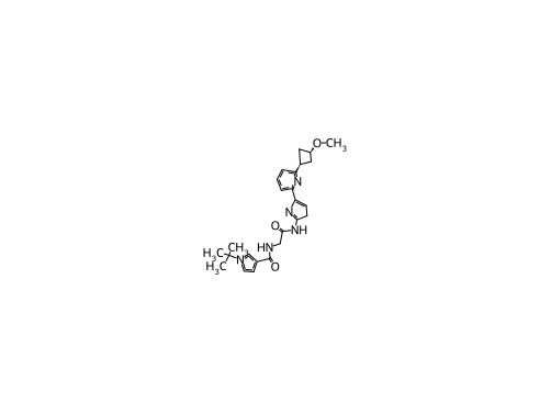 CO[C@H]1C[C@@H](c2cccc(C3=CCC(NC(=O)CNC(=O)c4ccn(C(C)(C)C)c4)=N3)n2)C1